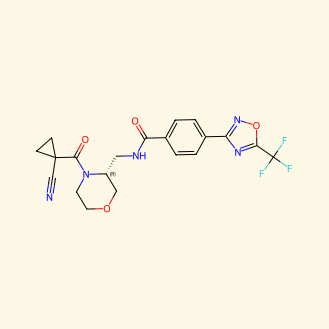 N#CC1(C(=O)N2CCOC[C@H]2CNC(=O)c2ccc(-c3noc(C(F)(F)F)n3)cc2)CC1